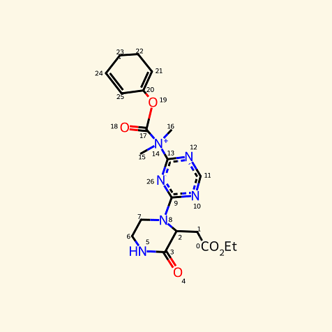 CCOC(=O)CC1C(=O)NCCN1c1ncnc([N+](C)(C)C(=O)OC2=CC[CH]C=C2)n1